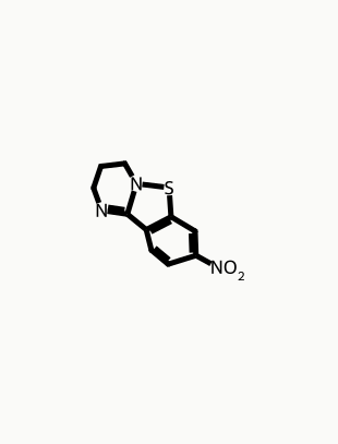 O=[N+]([O-])c1ccc2c(c1)SN1CCCN=C21